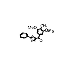 COc1cc(C(=O)c2csc(-c3ccccc3)n2)cc(OC)c1C